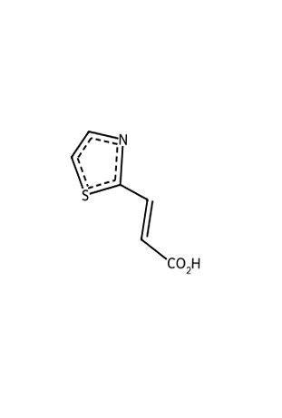 O=C(O)/C=C/c1nccs1